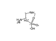 NCCN.O=S(=O)(O)S.[Ni]